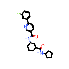 O=C(NC1CCCC(C(=O)NC2CCCC2)C1)c1ccc(-c2cccc(F)c2)nc1